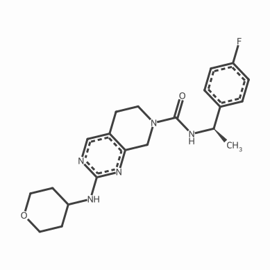 C[C@@H](NC(=O)N1CCc2cnc(NC3CCOCC3)nc2C1)c1ccc(F)cc1